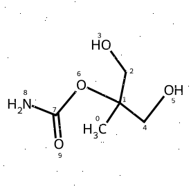 CC(CO)(CO)OC(N)=O